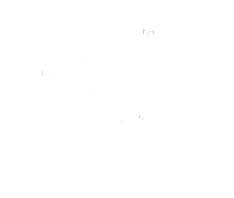 CC1(C)CC1c1nn(C2CCCCO2)c2ccc(N)cc12